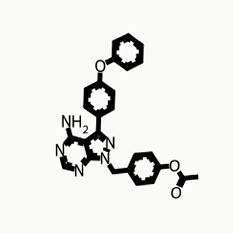 CC(=O)Oc1ccc(Cn2nc(-c3ccc(Oc4ccccc4)cc3)c3c(N)ncnc32)cc1